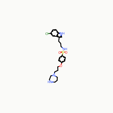 O=S(=O)(NCCCc1c[nH]c2ccc(Cl)cc12)c1ccc(OCCCN2CCCNCC2)cc1